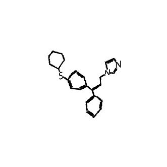 C(Cn1ccnc1)=C(c1ccccc1)c1ccc(SC2CCCCC2)cc1